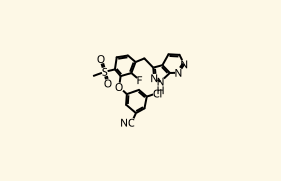 CS(=O)(=O)c1ccc(Cc2n[nH]c3nnccc23)c(F)c1Oc1cc(Cl)cc(C#N)c1